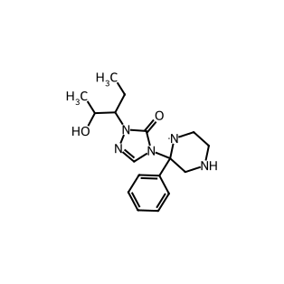 CCC(C(C)O)n1ncn(C2(c3ccccc3)CNCC[N]2)c1=O